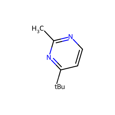 Cc1nccc(C(C)(C)C)n1